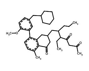 CCCC(CC1CC(=O)c2c(C)ccc(-c3cc(CC4CCCCC4)ccc3OC)c2C1)C(CC)C(=O)CC(C)=O